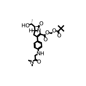 C[C@@H](O)[C@H]1C(=O)N2C(C(=O)OCOC(=O)C(C)(C)C)=C(c3ccc(NCC(=O)N(C)C)cc3)C[C@H]12